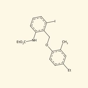 CCOC(=O)Nc1cccc(I)c1COc1ccc(CC)cc1C